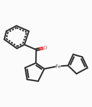 O=C(C1=[C]([Fe][C]2=CC=CC2)CC=C1)c1ccccc1